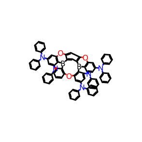 c1ccc(N(c2ccccc2)c2cc3c4c(c2)N(c2ccccc2)c2cccc5c2B4c2cc4c(cc2O3)Oc2cc(N(c3ccccc3)c3ccccc3)cc3c2B4c2c(cc(N(c4ccccc4)c4ccccc4)cc2N3c2ccccc2)O5)cc1